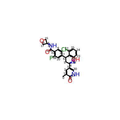 Cc1cc(/C(CC(c2ccc(C(=O)NC3COC3)c(F)c2)c2ccccc2Cl)=N/O)c[nH]c1=O